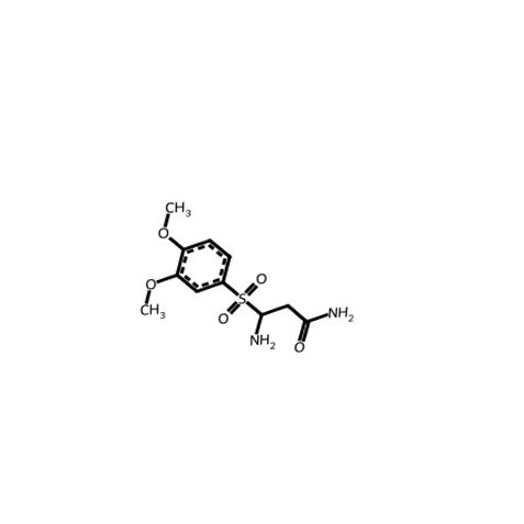 COc1ccc(S(=O)(=O)C(N)CC(N)=O)cc1OC